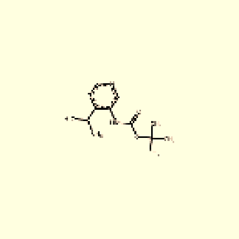 CC(C)c1n[c]ncc1NC(=O)OC(C)(C)C